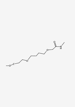 CNC(=O)COCCCCOCCCOC